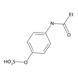 CCC(=O)[N]c1ccc(OS(=O)(=O)O)cc1